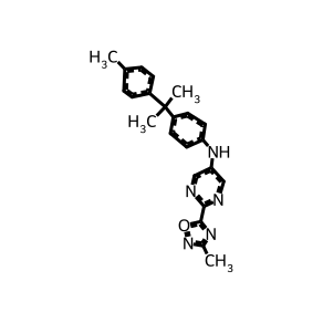 Cc1ccc(C(C)(C)c2ccc(Nc3cnc(-c4nc(C)no4)nc3)cc2)cc1